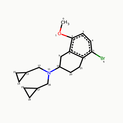 COc1ccc(Br)c2c1CC(N(CC1CC1)CC1CC1)CC2